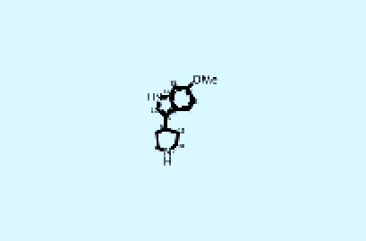 COc1ccc2c(C3CCNCC3)c[nH]c2c1